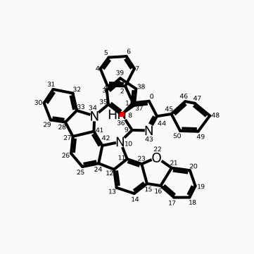 C1=C(c2ccccc2)NC(n2c3c(ccc4c5ccccc5oc43)c3ccc4c5ccccc5n(-c5ccccc5)c4c32)N=C1c1ccccc1